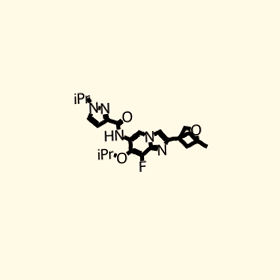 CC(C)Oc1c(NC(=O)c2ccn(C(C)C)n2)cn2cc(C34COC(C)(C3)C4)nc2c1F